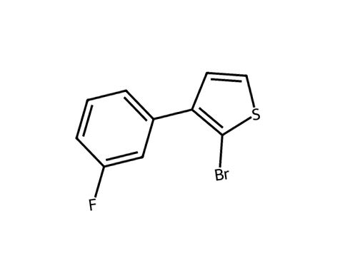 Fc1cccc(-c2ccsc2Br)c1